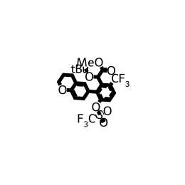 COC(=O)C(OC(C)(C)C)c1c(C(F)(F)F)ccc(OS(=O)(=O)C(F)(F)F)c1C1C=C2CCCOC2=CC1